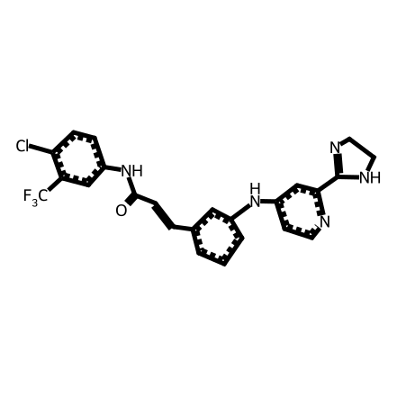 O=C(C=Cc1cccc(Nc2ccnc(C3=NCCN3)c2)c1)Nc1ccc(Cl)c(C(F)(F)F)c1